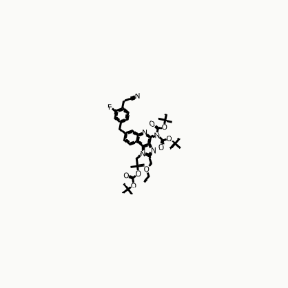 CCOCc1nc2c(N(C(=O)OC(C)(C)C)C(=O)OC(C)(C)C)nc3cc(Cc4ccc(CC#N)c(F)c4)ccc3c2n1CC(C)(C)OC(=O)OC(C)(C)C